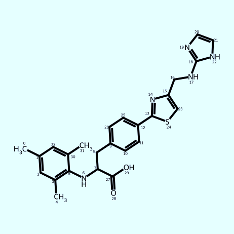 Cc1cc(C)c(NC(Cc2ccc(-c3nc(CNc4ncc[nH]4)cs3)cc2)C(=O)O)c(C)c1